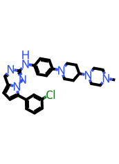 CN1CCN(C2CCN(c3ccc(Nc4ncc5ccc(-c6cccc(Cl)c6)n5n4)cc3)CC2)CC1